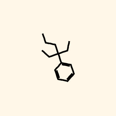 CCCC(CC)(CC)c1cc[c]cc1